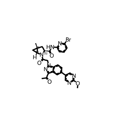 COc1ncc(-c2ccc3c(c2)c(C(C)=O)nn3CC(=O)N2[C@H](C(=O)Nc3cccc(Br)n3)C[C@@]3(C)C[C@@H]23)cn1